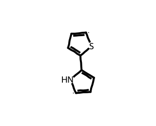 [c]1ccc(-c2cc[c]s2)[nH]1